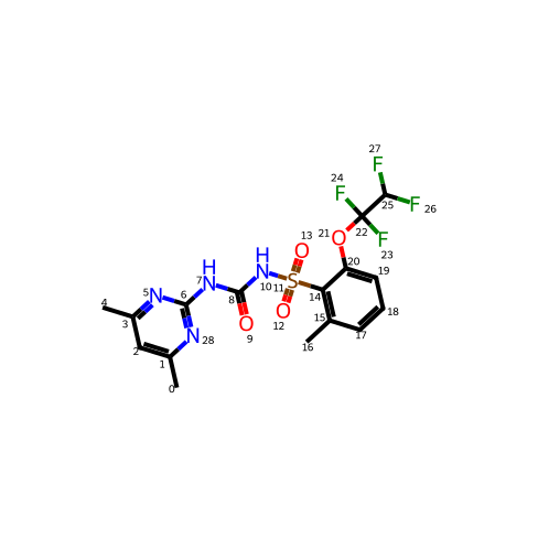 Cc1cc(C)nc(NC(=O)NS(=O)(=O)c2c(C)cccc2OC(F)(F)C(F)F)n1